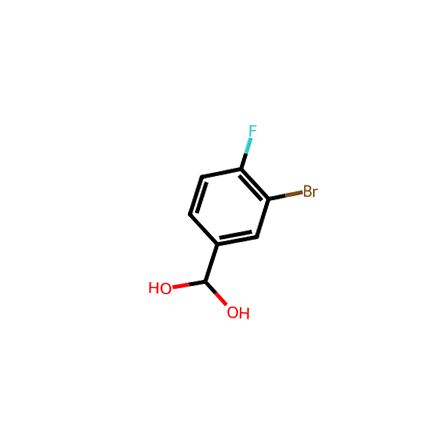 OC(O)c1ccc(F)c(Br)c1